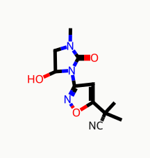 CN1CC(O)N(c2cc(C(C)(C)C#N)on2)C1=O